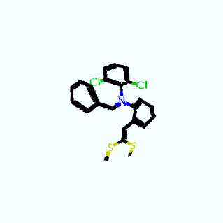 CSC(=Cc1ccccc1N(Cc1ccccc1)c1c(Cl)cccc1Cl)SC